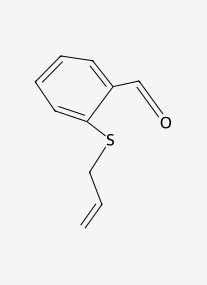 C=CCSc1ccccc1C=O